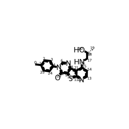 Cc1ccc(-n2cnc3c(sc4nccc(NC[C@@H](C)O)c43)c2=O)cc1